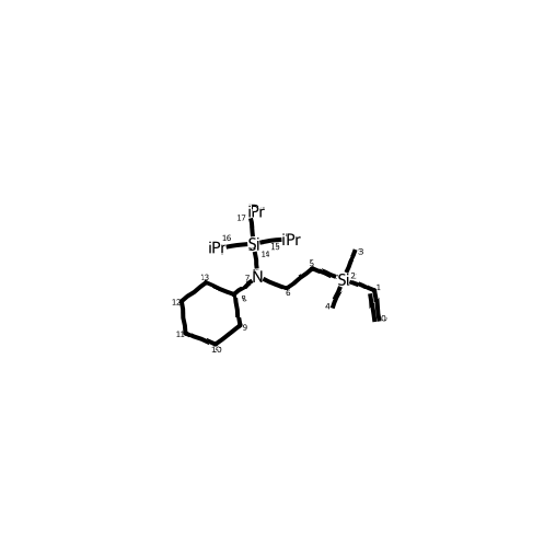 C=C[Si](C)(C)CCN(C1CCCCC1)[Si](C(C)C)(C(C)C)C(C)C